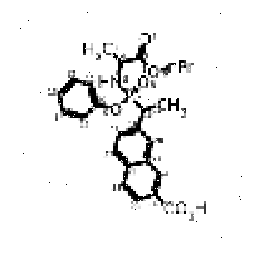 CCCOC(=O)C(C)NP(=O)(Oc1ccccc1)C(C)c1ccc2ccc(C(=O)O)cc2c1